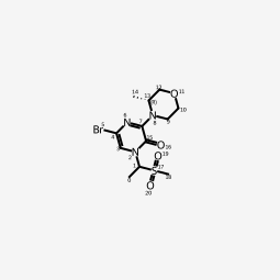 CC(n1cc(Br)nc(N2CCOC[C@H]2C)c1=O)S(C)(=O)=O